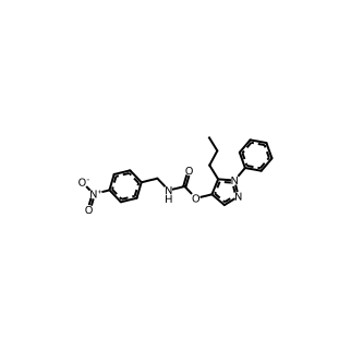 CCCc1c(OC(=O)NCc2ccc([N+](=O)[O-])cc2)cnn1-c1ccccc1